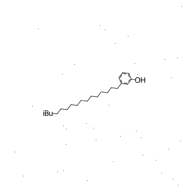 CCC(C)CCCCCCCCCCCCCc1cccc(O)c1